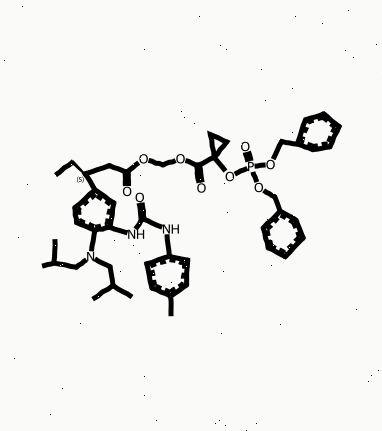 CC[C@@H](CC(=O)OCOC(=O)C1(OP(=O)(OCc2ccccc2)OCc2ccccc2)CC1)c1ccc(N(CC(C)C)CC(C)C)c(NC(=O)Nc2ccc(C)cc2)c1